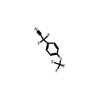 N#CC(F)(F)c1ccc(SC(F)(F)F)cc1